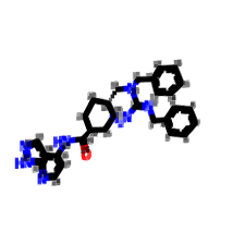 N/C(=N\Cc1ccccc1)N(Cc1ccccc1)C[C@H]1CC[C@H](C(=O)Nc2ccnc3[nH]ncc23)CC1